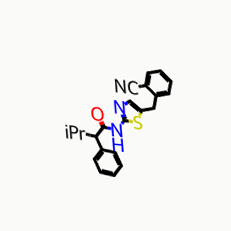 CC(C)C(C(=O)Nc1ncc(Cc2ccccc2C#N)s1)c1ccccc1